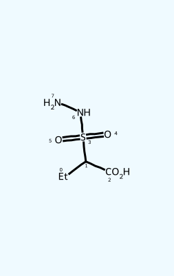 CCC(C(=O)O)S(=O)(=O)NN